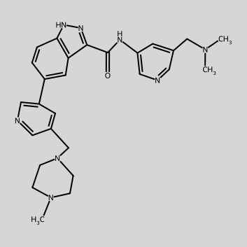 CN(C)Cc1cncc(NC(=O)c2n[nH]c3ccc(-c4cncc(CN5CCN(C)CC5)c4)cc23)c1